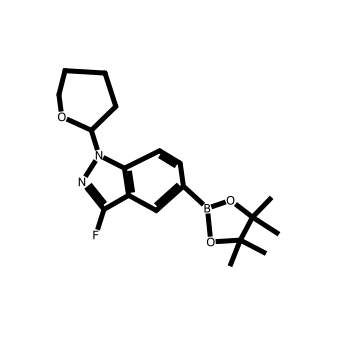 CC1(C)OB(c2ccc3c(c2)c(F)nn3C2CCCCO2)OC1(C)C